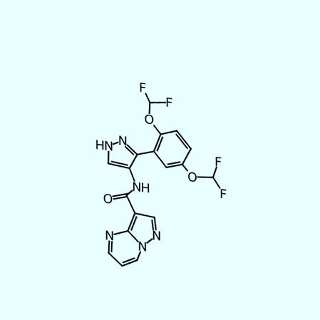 O=C(Nc1c[nH]nc1-c1cc(OC(F)F)ccc1OC(F)F)c1cnn2cccnc12